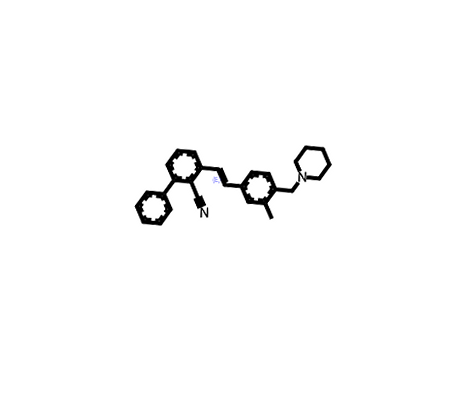 Cc1cc(/C=C/c2cccc(-c3ccccc3)c2C#N)ccc1CN1CCCCC1